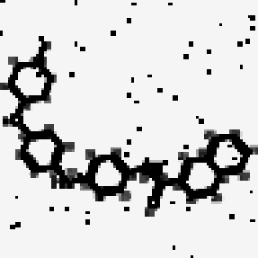 CN1CCC(Oc2ccc(Nc3ccc(NC(=O)c4ccc5ccccc5c4)cc3)cc2)CC1